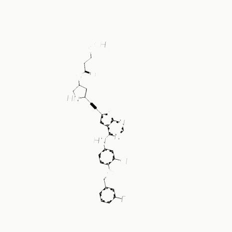 CSCCC(=O)OC1CNC(C#Cc2cc3c(Nc4ccc(OCc5cccc(F)c5)c(Cl)c4)ncnc3s2)C1